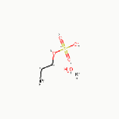 CC(C)CCOS(=O)(=O)[O-].O.[K+]